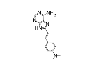 CN(C)c1ccc(C=Cc2nc3c(N)ncnc3[nH]2)cc1